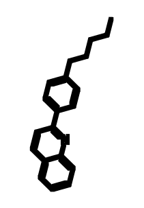 CCCCCc1ccc(-c2ccc3ccccc3n2)cc1